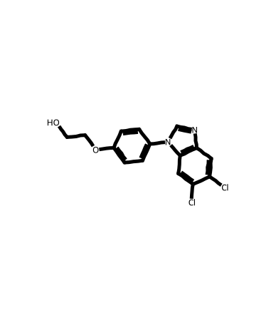 OCCOc1ccc(-n2cnc3cc(Cl)c(Cl)cc32)cc1